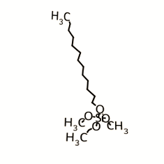 CCCCCCCCCCCCCO[Si](OC)(OC)OCC